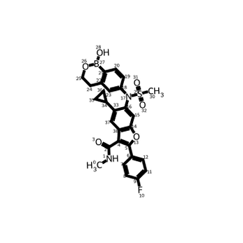 CNC(=O)c1c(-c2ccc(F)cc2)oc2cc(N(c3ccc4c(c3)CCOB4O)S(C)(=O)=O)c(C3CC3)cc12